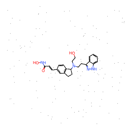 O=C(/C=C/c1ccc2c(c1)CCC2N(CCO)CCc1n[nH]c2ccccc12)NO